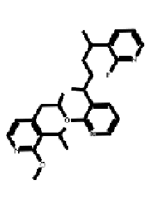 COc1nccc(CC(C)Oc2ncccc2C(C)CCC(C)c2cccnc2F)c1C(C)C